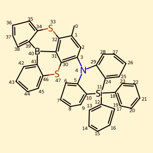 Cc1cc(N2c3ccccc3[Si](c3ccccc3)(c3ccccc3)c3ccccc32)c2c3c1Sc1ccccc1B3c1ccccc1S2